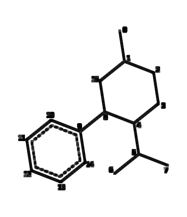 CC1CCC(C(C)C)C(c2ccccc2)C1